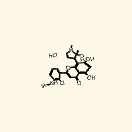 CC(C)Nc1cccc(-c2cc(=O)c3c(O)cc(O)c(C4CCN(C)C4(C)O)c3o2)c1Cl.Cl